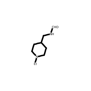 CCN1CCC(CN[C]=O)CC1